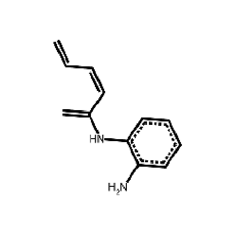 C=C/C=C\C(=C)Nc1ccccc1N